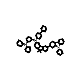 CC1(C)c2ccc(-c3ccc4c5ccccc5n(-c5ccccc5)c4c3)cc2-c2cc(N(c3ccc(-c4ccccc4)cc3)c3cccc(N(c4ccccc4)c4ccccc4)c3)ccc21